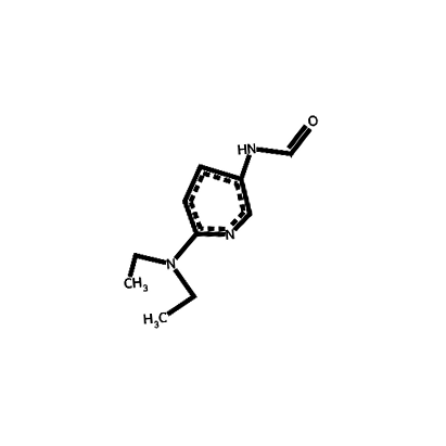 CCN(CC)c1ccc(N[C]=O)cn1